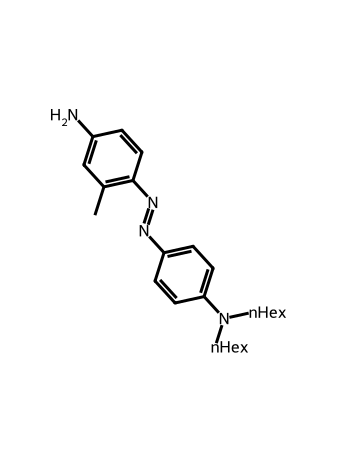 CCCCCCN(CCCCCC)c1ccc(N=Nc2ccc(N)cc2C)cc1